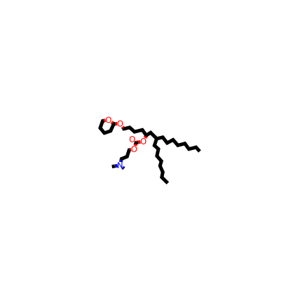 CCCCCCCCC(CCCCCCCC)CC(CCCCOC1CCCCO1)OC(=O)OCCCN(C)C